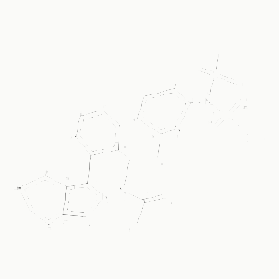 CS(=O)(=O)N(c1cccc(C[C@H](NC(=O)C(F)(F)F)c2ccccc2-c2noc3ccccc23)n1)S(C)(=O)=O